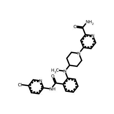 CN(c1ccccc1C(=O)Nc1ccc(Cl)cn1)C1CCN(c2ccnc(C(N)=O)c2)CC1